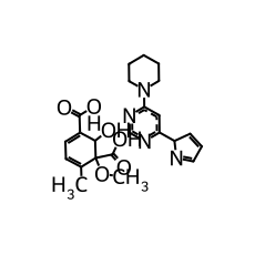 C1=CC(c2cc(N3CCCCC3)ncn2)N=C1.COC1(C(=O)O)C(C)=CC=C(C(=O)O)C1O